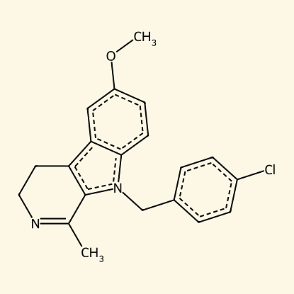 COc1ccc2c(c1)c1c(n2Cc2ccc(Cl)cc2)C(C)=NCC1